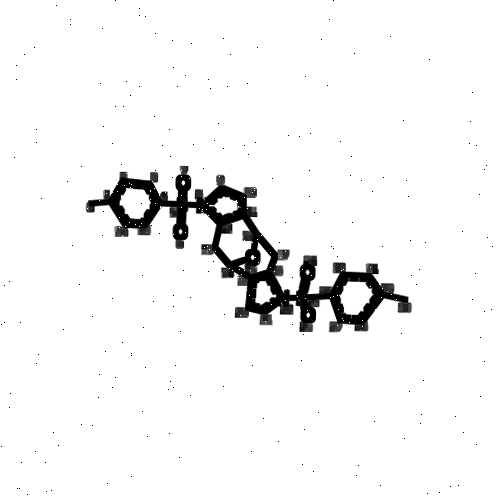 Cc1ccc(S(=O)(=O)n2ccc3c2CC2OC3Cc3c2ccn3S(=O)(=O)c2ccc(C)cc2)cc1